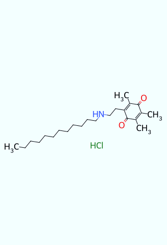 CCCCCCCCCCCCNCCC1=C(C)C(=O)C(C)=C(C)C1=O.Cl